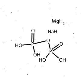 O=P(O)(O)OP(=O)(O)O.[MgH2].[NaH]